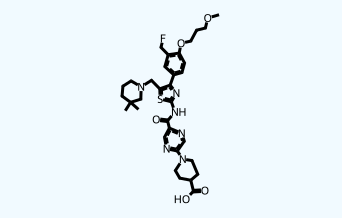 COCCCOc1ccc(-c2nc(NC(=O)c3cnc(N4CCC(C(=O)O)CC4)cn3)sc2CN2CCCC(C)(C)C2)cc1CF